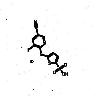 N#Cc1ccc(Sc2ccc(S(=O)(=O)O)s2)c(F)c1.[K]